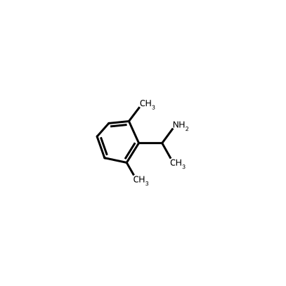 Cc1cccc(C)c1C(C)N